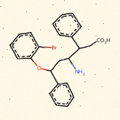 NC(CC(Oc1ccccc1Br)c1ccccc1)C(CC(=O)O)c1ccccc1